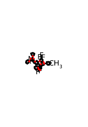 Cc1ccc(-c2ccc3c(c2)c2ccccc2n3-c2c(-c3cccc(C(F)(F)F)c3)cc(-c3cc(-c4ccccc4)nc(-c4ccccc4)n3)cc2-c2cccc(C(F)(F)F)c2)cc1